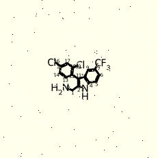 NCc1[nH]c2ccc(C(F)(F)F)cc2c1-c1ccc(Cl)cc1Cl